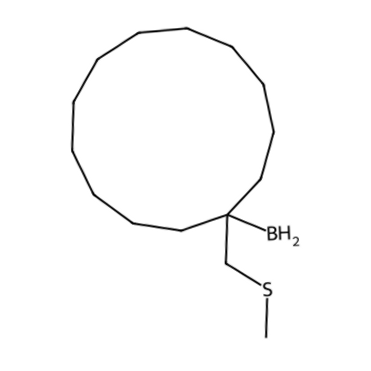 BC1(CSC)CCCCCCCCCCCC1